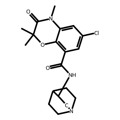 CN1C(=O)C(C)(C)Oc2c(C(=O)NC3CN4CCC3CC4)cc(Cl)cc21